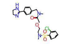 CN(Cc1ccc(C2=NCCN2)cc1)C(=O)COCCN(C)S(=O)(=O)c1ccccc1Cl